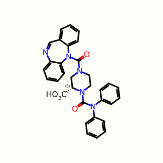 O=C(O)[C@@H]1CN(C(=O)N2c3ccccc3C=Nc3ccccc32)CCN1C(=O)N(c1ccccc1)c1ccccc1